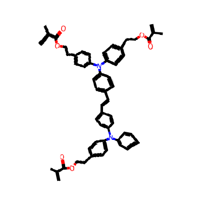 C=C(C)C(=O)OCCc1ccc(N(c2ccccc2)c2ccc(/C=C/c3ccc(N(c4ccc(CCOC(=O)C(=C)C)cc4)c4ccc(CCOC(=O)C(=C)C)cc4)cc3)cc2)cc1